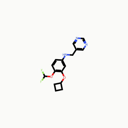 FC(F)Oc1ccc(NCc2cncnc2)cc1OC1CCC1